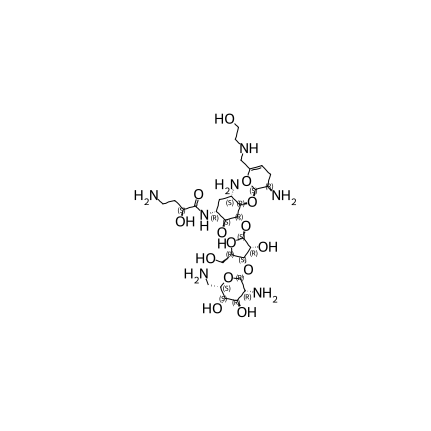 NCC[C@H](O)C(=O)N[C@@H]1C[C@H](N)[C@@H](O[C@H]2OC(CNCCO)=CC[C@H]2N)[C@H](O[C@@H]2O[C@H](CO)[C@@H](O[C@H]3O[C@@H](CN)[C@@H](O)[C@H](O)[C@H]3N)[C@H]2O)[C@H]1O